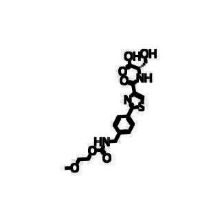 COCCOC(=O)NCc1ccc(-c2nc(C(=O)N[C@@H](CO)C(=O)O)cs2)cc1